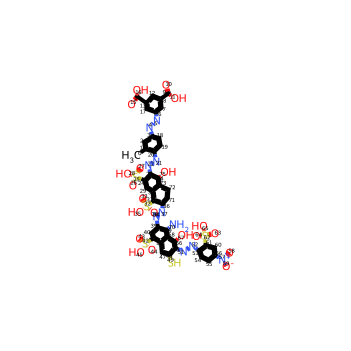 Cc1cc(N=Nc2cc(C(=O)O)cc(C(=O)O)c2)ccc1N=Nc1c(S(=O)(=O)O)cc2c(S(=O)(=O)O)c(N=Nc3cc(S(=O)(=O)O)c4cc(S)c(N=Nc5ccc([N+](=O)[O-])cc5S(=O)(=O)O)c(O)c4c3N)ccc2c1O